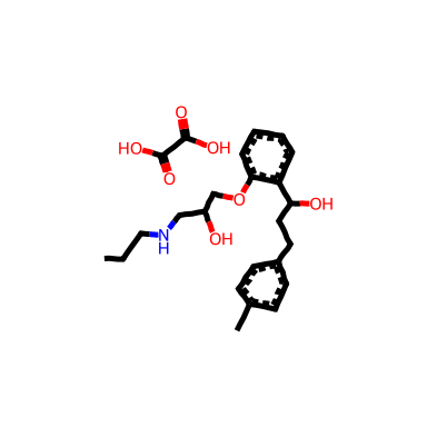 CCCNCC(O)COc1ccccc1C(O)CCc1ccc(C)cc1.O=C(O)C(=O)O